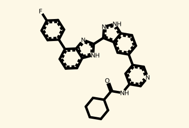 O=C(Nc1cncc(-c2ccc3[nH]nc(-c4nc5c(-c6ccc(F)cc6)cccc5[nH]4)c3c2)c1)C1CCCCC1